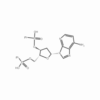 CC(C)P(=O)(O)OC[C@H]1O[C@@H](n2cnc3c(N)ccnc32)C[C@@H]1OP(=O)(O)C(C)C